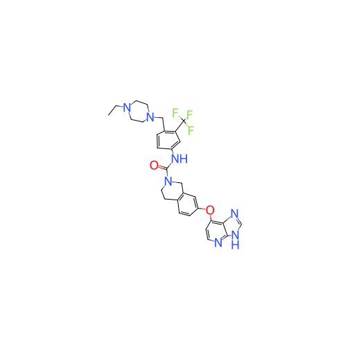 CCN1CCN(Cc2ccc(NC(=O)N3CCc4ccc(Oc5ccnc6[nH]cnc56)cc4C3)cc2C(F)(F)F)CC1